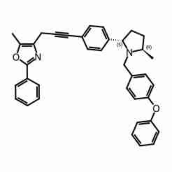 Cc1oc(-c2ccccc2)nc1CC#Cc1ccc([C@@H]2CC[C@@H](C)N2Cc2ccc(Oc3ccccc3)cc2)cc1